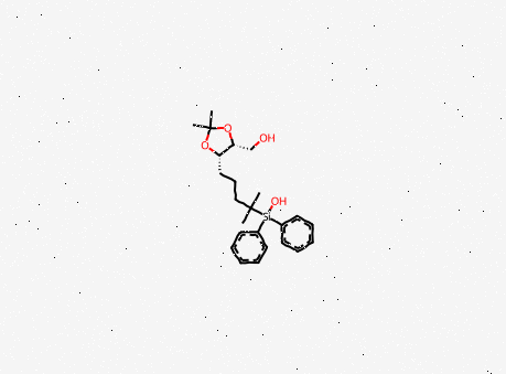 CC1(C)O[C@@H](CCCC(C)(C)[Si](O)(c2ccccc2)c2ccccc2)[C@@H](CO)O1